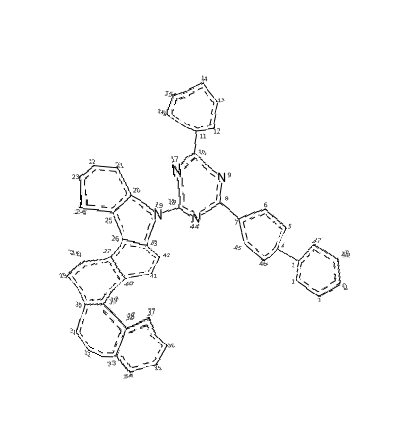 c1ccc(-c2ccc(-c3nc(-c4ccccc4)nc(-n4c5ccccc5c5c6ccc7ccc8ccccc8c7c6ccc54)n3)cc2)cc1